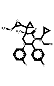 COC1OC1C1([C@@]2(C)C[C@H](c3cccc(Cl)c3)C(c3ccc(Cl)cc3)N([C@H](CO)C3CC3)C2=O)CC1